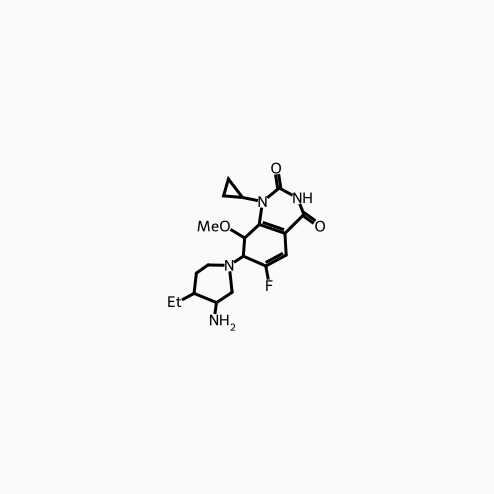 CCC1CCN(C2C(F)=Cc3c(n(C4CC4)c(=O)[nH]c3=O)C2OC)CC1N